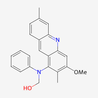 COc1cc2nc3cc(C)ccc3cc2c(N(CO)c2ccccc2)c1C